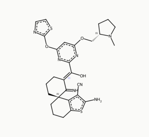 CN1CCC[C@H]1COc1cc(Oc2nccs2)nc(/C(O)=C2\CCC[C@@]3(CCCc4sc(N)c(C#N)c43)C2=N)n1